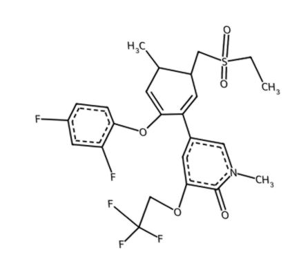 CCS(=O)(=O)CC1C=C(c2cc(OCC(F)(F)F)c(=O)n(C)c2)C(Oc2ccc(F)cc2F)=CC1C